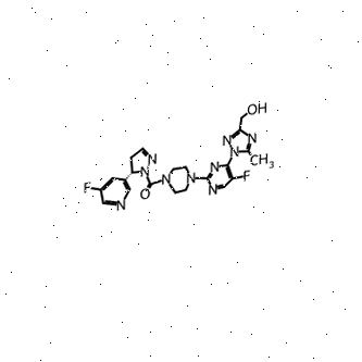 Cc1nc(CO)nn1-c1nc(N2CCN(C(=O)N3N=CC[C@H]3c3cncc(F)c3)CC2)ncc1F